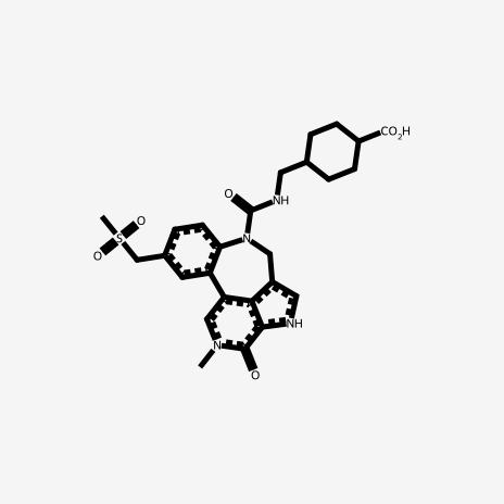 Cn1cc2c3c(c[nH]c3c1=O)CN(C(=O)NCC1CCC(C(=O)O)CC1)c1ccc(CS(C)(=O)=O)cc1-2